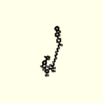 Cc1ncoc1-c1ccc([C@H](C)NC(=O)[C@@H]2C[C@@H](O)CN2C(=O)[C@@H](NC(=O)COCCOCCOCCOCC(=O)N2CCN(c3ccn4c(n3)nc3ccccc34)CC2)C(C)(C)C)cc1